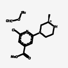 CC(C)(C)OC=O.COC(=O)c1cc(Cl)nc(N2CCN[C@H](C)C2)c1